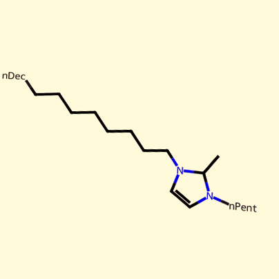 CCCCCCCCCCCCCCCCCCN1C=CN(CCCCC)C1C